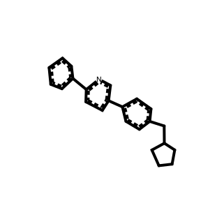 c1ccc(-c2ccc(-c3ccc(CC4CCCC4)cc3)cn2)cc1